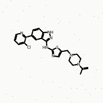 C=C(C)N1CCN(Cc2cnc(Nc3n[nH]c4ccc(-c5ncccc5Cl)cc34)s2)CC1